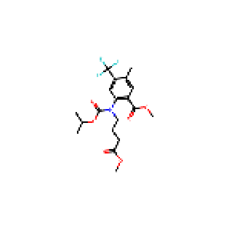 COC(=O)CCCN(C(=O)OC(C)C)c1cc(C(F)(F)F)c(C)cc1C(=O)OC